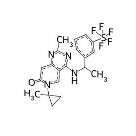 Cc1nc(NC(C)c2cccc(S(F)(F)(F)(F)F)c2)c2cn(C3(C)CC3)c(=O)cc2n1